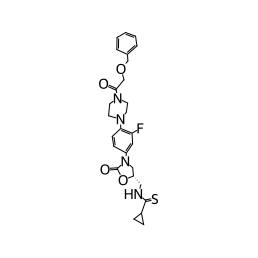 O=C(COCc1ccccc1)N1CCN(c2ccc(N3C[C@H](CNC(=S)C4CC4)OC3=O)cc2F)CC1